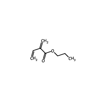 C=CC(=C)C(=O)OCCC